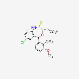 COc1c(OC(F)(F)F)cccc1C1OC(CC(=O)O)C(=S)Nc2ccc(Cl)cc21